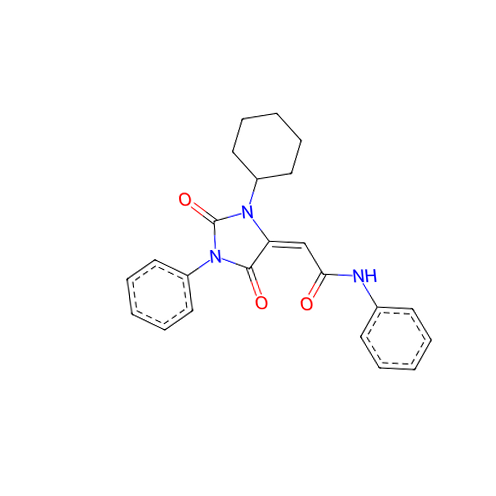 O=C(C=C1C(=O)N(c2ccccc2)C(=O)N1C1CCCCC1)Nc1ccccc1